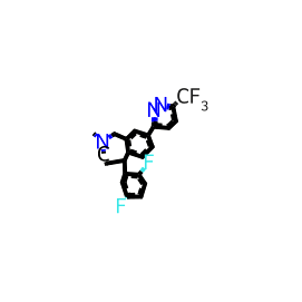 CN1CCC(c2cc(F)ccc2F)c2ccc(-c3ccc(C(F)(F)F)nn3)cc2C1